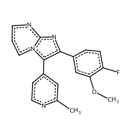 COc1cc(-c2nc3ncccn3c2-c2ccnc(C)c2)ccc1F